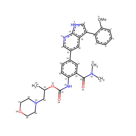 COc1ccccc1-c1c[nH]c2ncc(-c3ccc(NC(=O)OC(C)CN4CCOCC4)c(C(=O)N(C)C)c3)cc12